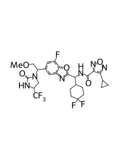 COCC(c1cc(F)c2oc(C(NC(=O)c3nonc3C3CC3)C3CCC(F)(F)CC3)nc2c1)N1CC(C(F)(F)F)NC1=O